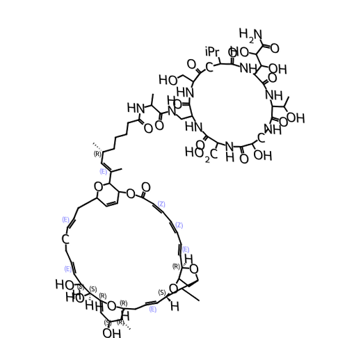 C/C(=C\[C@H](C)CCCCC(=O)NC(C)C(=O)NCC1NC(=O)C(C(=O)O)NC(=O)C(O)CNC(=O)C(C(C)O)NC(=O)C(C(O)C(O)C(N)=O)NC(=O)C(C(C)C)CC(=O)C(CO)NC1=O)C1OC2C=CC1OC(=O)\C=C/C=C\C=C\[C@H]1OC3CC1O[C@@H](/C=C/C[C@H]1O[C@H](C[C@H](O)[C@H]1C)[C@@H](O)[C@@H](O)/C=C/CC/C=C/C2)C3C